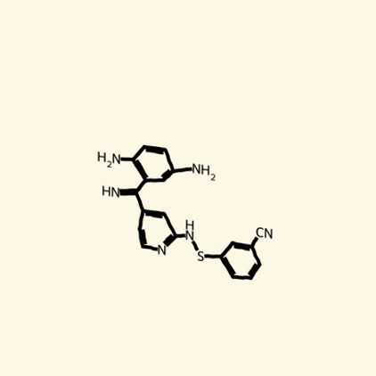 N#Cc1cccc(SNc2cc(C(=N)c3cc(N)ccc3N)ccn2)c1